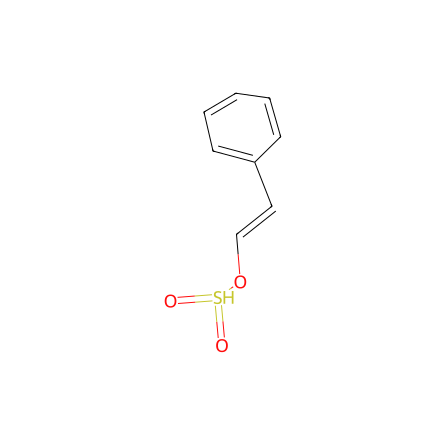 O=[SH](=O)OC=Cc1ccccc1